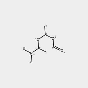 CC(O[C]=O)OC(C)N(C)C